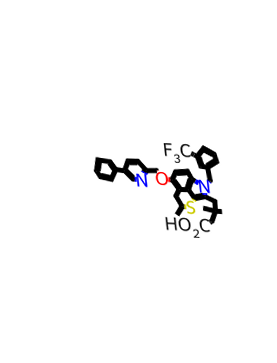 CC1Cc2c(OCc3ccc(-c4ccccc4)cn3)ccc3c2c(c(CC(C)(C)CC(=O)O)n3Cc2cccc(C(F)(F)F)c2)S1